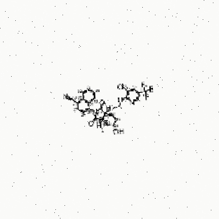 C[C@]12O[C@](CCOc3ncc(C(F)(F)F)cc3Cl)(C[C@@H]1O)[C@H]1C(=O)N(c3ccc(C#N)c4ccccc34)C(=O)[C@H]12